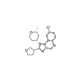 C[C@@H]1C[C@H](n2c(C3CCOC3)nc3cnc4ccc(Cl)cc4c32)CCO1